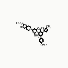 COc1ccc(-c2ccc(C(Oc3cc(N4CCC5(CC4)CNC(C(=O)O)C5)nc(N)n3)C(F)(F)F)c(-n3ccc(C)n3)c2)cc1